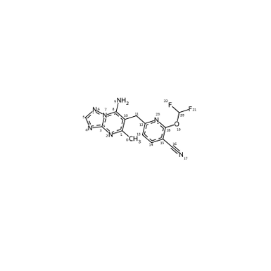 Cc1nc2ncnn2c(N)c1Cc1ccc(C#N)c(OC(F)F)n1